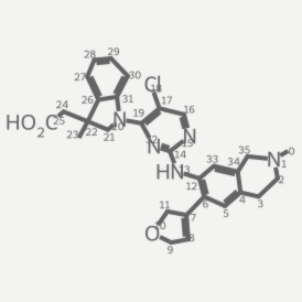 CN1CCc2cc(C3=CCOC3)c(Nc3ncc(Cl)c(N4CC(C)(CC(=O)O)c5ccccc54)n3)cc2C1